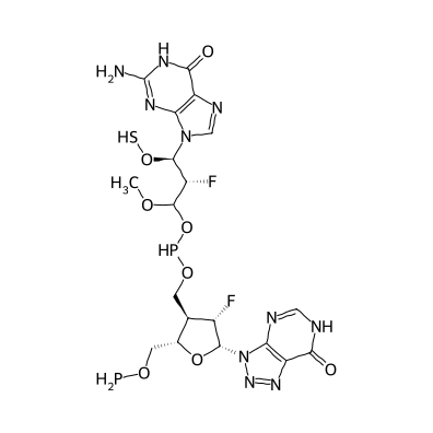 COC(OPOC[C@H]1[C@H](F)[C@H](n2nnc3c(=O)[nH]cnc32)O[C@@H]1COP)[C@@H](F)[C@@H](OS)n1cnc2c(=O)[nH]c(N)nc21